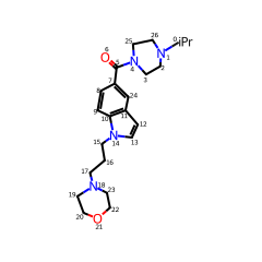 CC(C)N1CCN(C(=O)c2ccc3c(ccn3CCCN3CCOCC3)c2)CC1